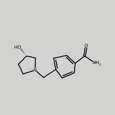 NC(=O)c1ccc(CN2CC[C@H](O)C2)cc1